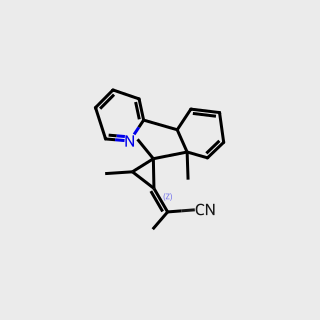 C/C(C#N)=C1\C(C)C1(C)C1(C)C=CC=CC1c1ccccn1